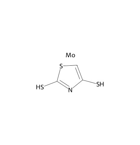 Sc1csc(S)n1.[Mo]